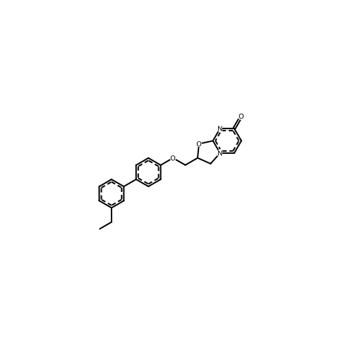 CCc1cccc(-c2ccc(OCC3Cn4ccc(=O)nc4O3)cc2)c1